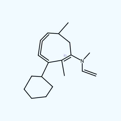 C=CN(C)/C1=C(\C)C(C2CCCCC2)=C=C=CC(C)C1